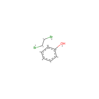 BrCCBr.Oc1ccccc1